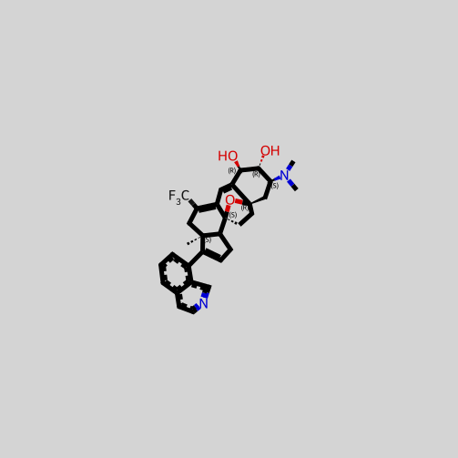 CN(C)[C@H]1C[C@@]23CC[C@@]4(O2)C(=C(C(F)(F)F)C[C@]2(C)C(c5cccc6ccncc56)=CCC24)C=C3[C@@H](O)[C@@H]1O